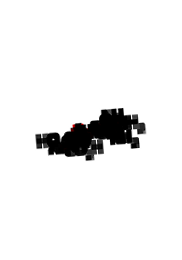 CC(=O)CC[C@@H](NC(=O)N[C@H](CCCCN(Cc1nccc2ccccc12)C(=O)c1ccc(CNC(=S)Nc2ccc(CC3CN(CC(N)=O)CCN(CC(N)=O)CCN(CC(N)=O)CCN3CC(N)=O)cc2)cc1)C(=O)O)C(=O)O